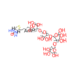 CC(=O)NC1(C)C(C)(COC[C@@]2(C)OC(C)(C)[C@@](C)(COC[C@@]3(C)OC(C)(CO)[C@@](C)(O)C(C)(O)C3(C)COC[C@]3(C)OC(C)(C)[C@@](C)(O)C(C)(O)C3(C)O)C(C)(O)C2(C)O)[C@](C)(O)C(C)(CO)O[C@@]1(C)OC(=O)CCCCC1SC[C@@H]2NC(=O)N[C@H]12